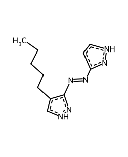 CCCCCc1c[nH]nc1N=Nc1cc[nH]n1